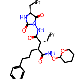 CC(C)C[C@@H]1NC(=O)N(NC(=O)[C@H](CC(C)C)[C@H](CCCc2ccccc2)C(=O)NOC2CCCCO2)C1=O